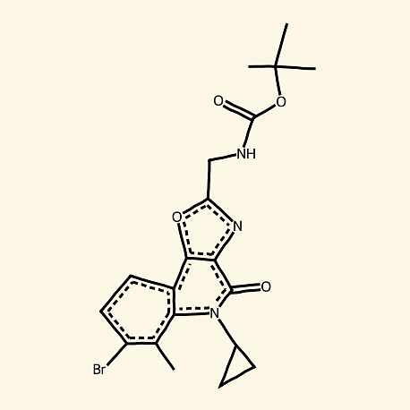 Cc1c(Br)ccc2c3oc(CNC(=O)OC(C)(C)C)nc3c(=O)n(C3CC3)c12